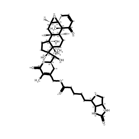 CC1=C(COC(=O)CCCCC2SCC3NC(=O)NC32)C[C@H]([C@](C)(O)[C@]2(O)CC[C@@]3(O)[C@@H]4C[C@H]5O[C@]56CC=CC(=O)[C@]6(C)[C@H]4CC[C@]23C)OC1=O